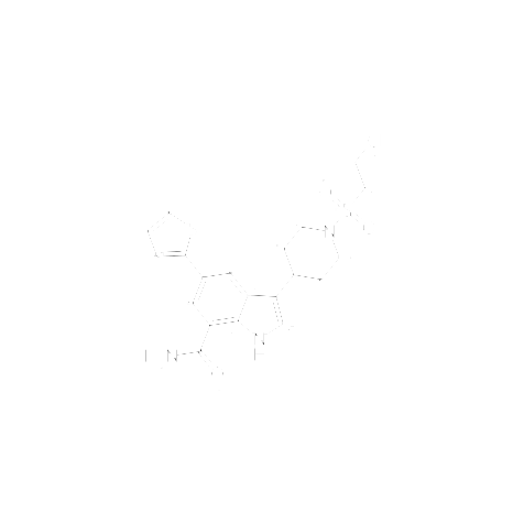 NC(=O)c1cc(-c2cccs2)cc2c(C3CCN(S(=O)(=O)CCCl)CC3)c[nH]c12